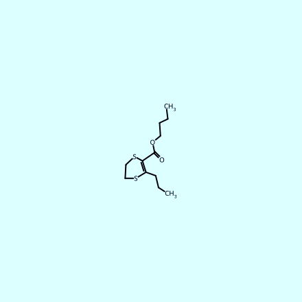 CCCCOC(=O)C1=C(CCC)SCCS1